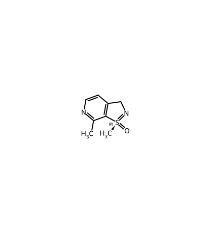 Cc1nccc2c1[S@@](C)(=O)=NC2